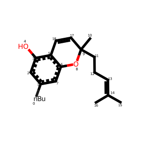 CCCCc1cc(O)c2c(c1)OC(C)(CCC=C(C)C)C=C2